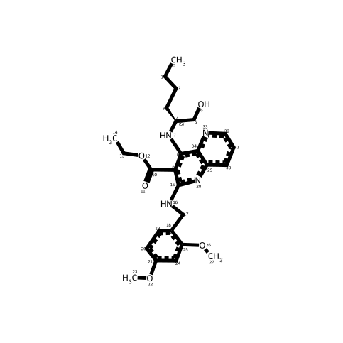 CCCC[C@@H](CO)Nc1c(C(=O)OCC)c(NCc2ccc(OC)cc2OC)nc2cccnc12